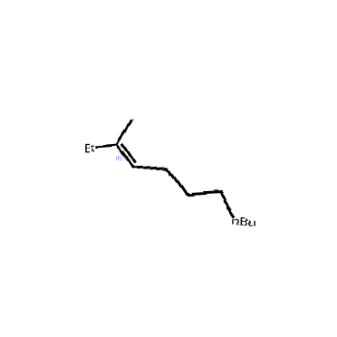 CCCCCCC/C=C(\C)CC